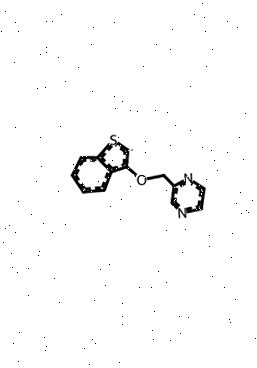 [c]1sc2ccccc2c1OCc1cnccn1